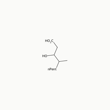 CCCCCC(C)C(O)CC(=O)O